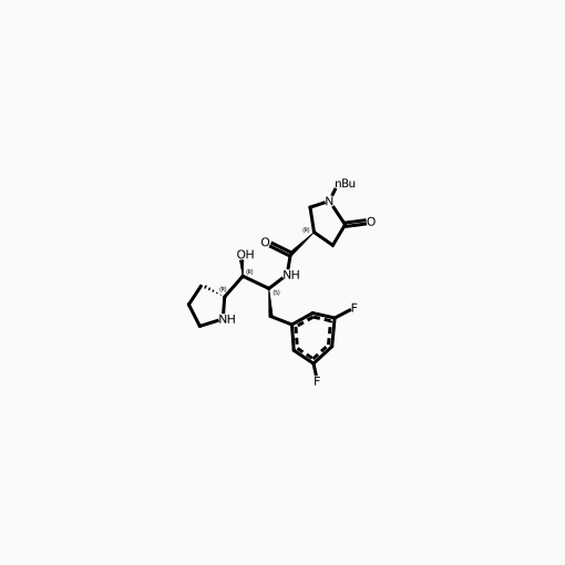 CCCCN1C[C@H](C(=O)N[C@@H](Cc2cc(F)cc(F)c2)[C@H](O)[C@H]2CCCN2)CC1=O